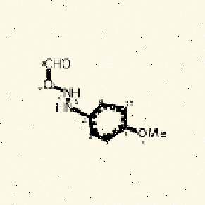 COc1ccc(NNOC=O)cc1